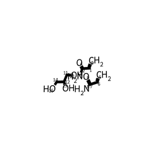 C=CC(N)=O.C=CC(N)=O.OCC(O)CO